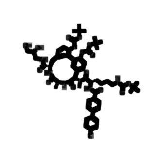 C[C@@H]1NC(=O)[C@@H](N(C)C(=O)[C@H](CCCCNC(=O)OC(C)(C)C)NC(=O)c2ccc(-c3ccc(Cl)cc3)cc2)c2ccc(OC(=O)OC(C)(C)C)c(c2)-c2cc(ccc2OC(=O)OC(C)(C)C)C[C@@H](C(=O)NCC(O)CO)NC1=O